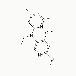 CCN(c1nc(C)cc(C)n1)c1cnc(OC)cc1OC